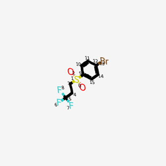 O=S(=O)(CCC(F)(F)F)c1ccc(Br)cc1